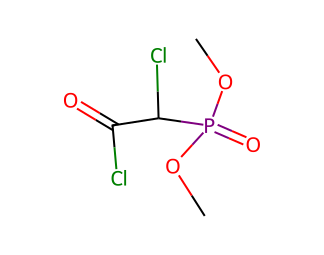 COP(=O)(OC)C(Cl)C(=O)Cl